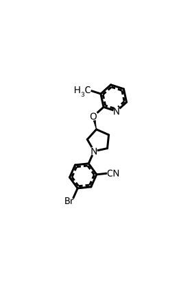 Cc1cccnc1O[C@H]1CCN(c2ccc(Br)cc2C#N)C1